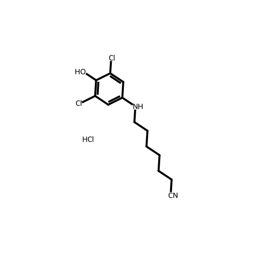 Cl.N#CCCCCCCNc1cc(Cl)c(O)c(Cl)c1